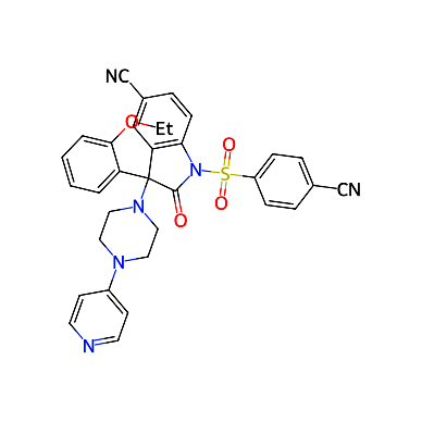 CCOc1ccccc1C1(N2CCN(c3ccncc3)CC2)C(=O)N(S(=O)(=O)c2ccc(C#N)cc2)c2ccc(C#N)cc21